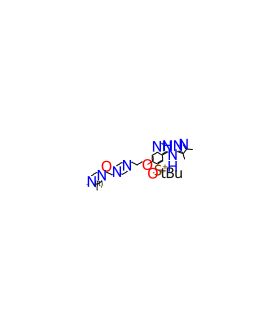 Cc1n[nH]c(Nc2ncnc3cc(OCCCN4CCN(CC(=O)N5CCN(C)[C@H](C)C5)CC4)c([S+]([O-])C(C)(C)C)cc23)c1C